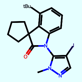 Cn1ncc(I)c1N1C(=O)C2(CCCC2)c2c1cccc2C(C)(C)C